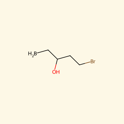 BCC(O)CCBr